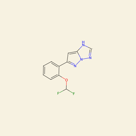 FC(F)Oc1ccccc1-c1cc2[nH][c]nn2n1